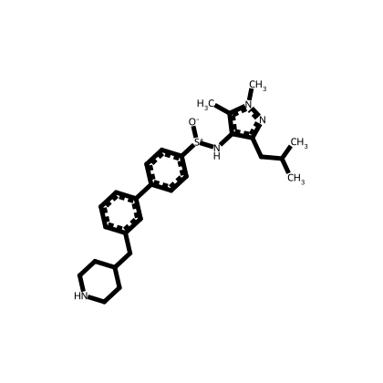 Cc1c(N[S+]([O-])c2ccc(-c3cccc(CC4CCNCC4)c3)cc2)c(CC(C)C)nn1C